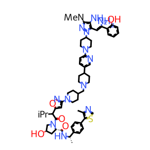 CNc1nn(C2CCN(c3ccc(C4CCN(CC5CCN(c6cc(C(C(=O)N7C[C@H](O)C[C@H]7C(=O)N[C@@H](C)c7ccc(-c8scnc8C)cc7)C(C)C)on6)CC5)CC4)cn3)CC2)c(/C=C(\N)c2ccccc2O)c1N